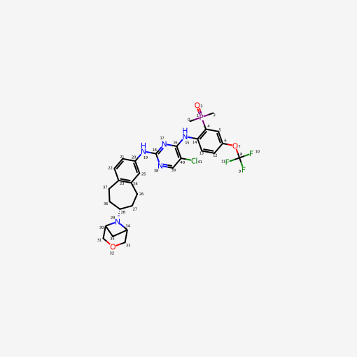 CP(C)(=O)c1cc(OC(F)(F)F)ccc1Nc1nc(Nc2ccc3c(c2)CC[C@H](N2C4COCC2C4)CC3)ncc1Cl